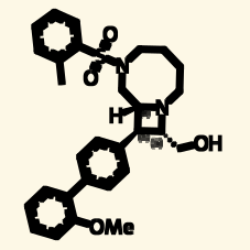 COc1ccccc1-c1ccc([C@@H]2[C@@H](CO)N3CCCCN(S(=O)(=O)c4ccccc4C)C[C@@H]23)cc1